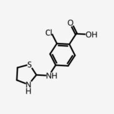 O=C(O)c1ccc(NC2NCCS2)cc1Cl